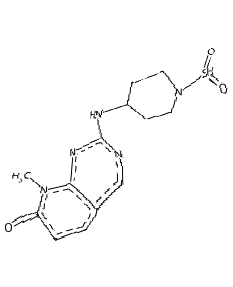 Cn1c(=O)ccc2cnc(NC3CCN([SH](=O)=O)CC3)nc21